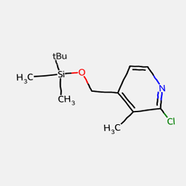 Cc1c(CO[Si](C)(C)C(C)(C)C)ccnc1Cl